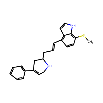 CSc1ccc(C=CCC2CC(c3ccccc3)=CCN2)c2cc[nH]c12